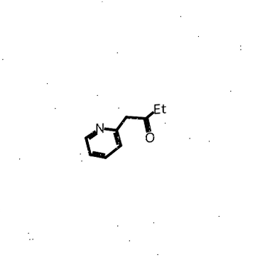 CCC(=O)Cc1ccccn1